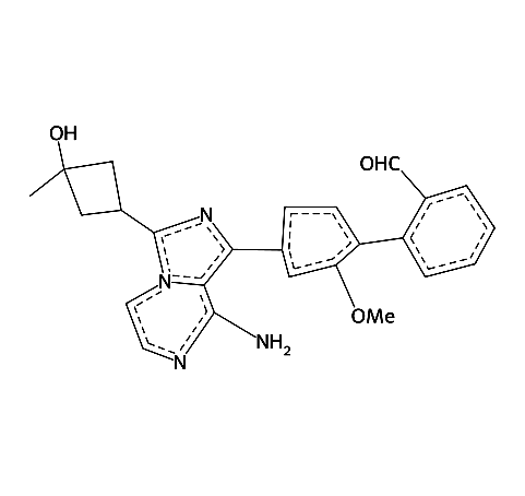 COc1cc(-c2nc(C3CC(C)(O)C3)n3ccnc(N)c23)ccc1-c1ccccc1C=O